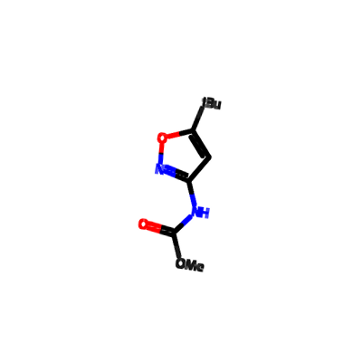 COC(=O)Nc1cc(C(C)(C)C)on1